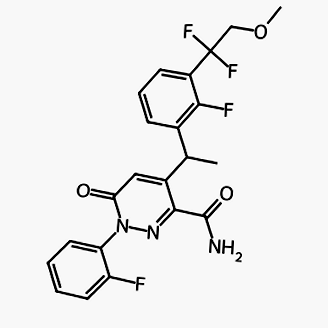 COCC(F)(F)c1cccc(C(C)c2cc(=O)n(-c3ccccc3F)nc2C(N)=O)c1F